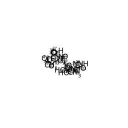 CC(C)(CO)C(=O)SCCOP(=O)(CC[C@H]1O[C@@H](n2cnc3c(=O)[nH]cnc32)[C@](C)(O)[C@@H]1O)NCc1ccccc1